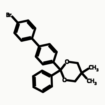 CC1(C)COC(c2ccccc2)(c2ccc(-c3ccc(Br)cc3)cc2)OC1